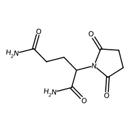 NC(=O)CCC(C(N)=O)N1C(=O)CCC1=O